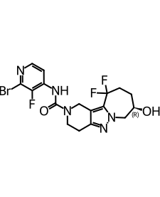 O=C(Nc1ccnc(Br)c1F)N1CCc2nn3c(c2C1)C(F)(F)CC[C@@H](O)C3